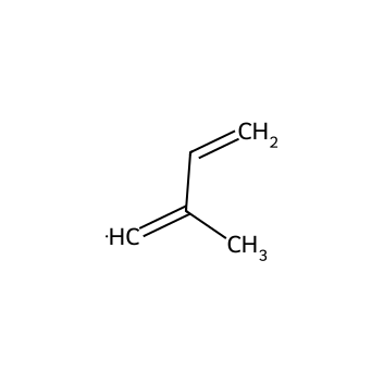 [CH]=C(C)C=C